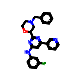 Fc1cccc(Nc2cc(-c3cccnc3)nc(C3CN(Cc4ccccc4)CCO3)n2)c1